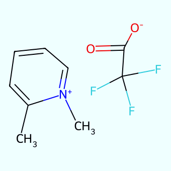 Cc1cccc[n+]1C.O=C([O-])C(F)(F)F